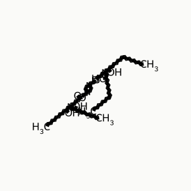 CCCCCCCC/C=C\CCCCCCC(O)CN(CCCSSCCN1CCN(CCOC(=O)CCCCN(CC(O)CCCCCCCCCC)CC(O)CCCCCCCCCC)CC1)CC(O)CCCCCC/C=C\CCCCCCCC